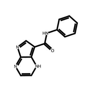 O=C(Nc1ccccc1)c1cnc2ncc[nH]c1-2